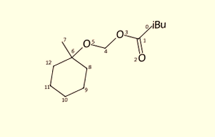 CCC(C)C(=O)OCOC1(C)CCCCC1